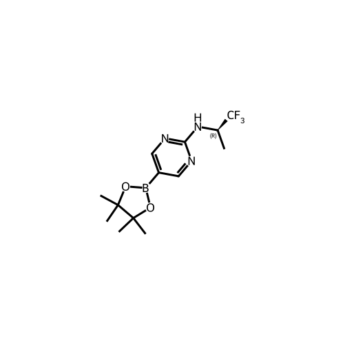 C[C@@H](Nc1ncc(B2OC(C)(C)C(C)(C)O2)cn1)C(F)(F)F